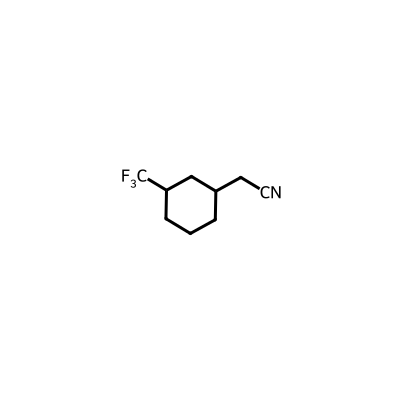 N#CCC1CCCC(C(F)(F)F)C1